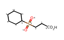 O=C(O)CCS(=O)(=O)C1CCCCC1